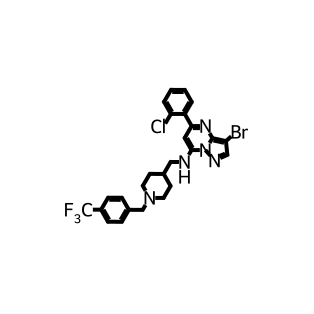 FC(F)(F)c1ccc(CN2CCC(CNc3cc(-c4ccccc4Cl)nc4c(Br)cnn34)CC2)cc1